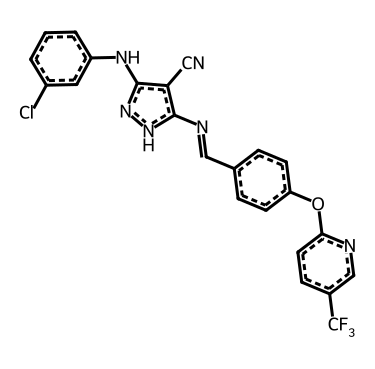 N#Cc1c(Nc2cccc(Cl)c2)n[nH]c1N=Cc1ccc(Oc2ccc(C(F)(F)F)cn2)cc1